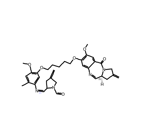 C=C1CC(/C=N\c2cc(OCCCCCOc3cc4c(cc3OC)C(=O)N3CC(=C)C[C@H]3C=N4)c(OC)cc2C)N(C=O)C1